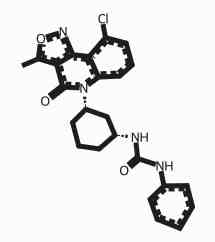 Cc1onc2c1c(=O)n([C@H]1CCC[C@@H](NC(=O)Nc3ccccc3)C1)c1cccc(Cl)c21